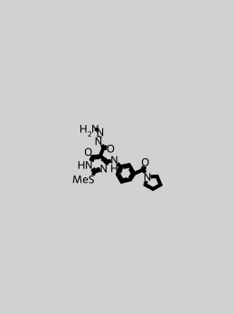 CSc1nc(Nc2cccc(C(=O)N3CCCC3)c2)c(C(=O)N=NN)c(=O)[nH]1